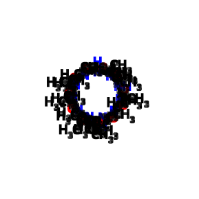 C/C=C/CC(C)C(O[Si](C)(C)C)C1C(=O)NC(CC)C(=O)N(C)CC(=O)N(C)C(CC(C)C)C(=O)NC(C(C)C)C(=O)N(C)C(CC(C)C)C(=O)NC(C)C(=O)N(CC)C(C)C(=O)N(C)C(CC(C)C)C(=O)N(C)C(CC(C)C)C(=O)N(C)C(C(C)C)C(=O)N1C